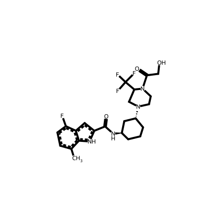 Cc1ccc(F)c2cc(C(=O)N[C@@H]3CCC[C@@H](N4CCN(C(=O)CO)C(C(F)(F)F)C4)C3)[nH]c12